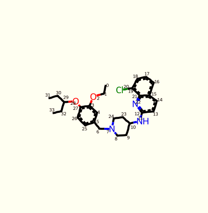 CCOc1cc(CN2CCC(Nc3ccc4cccc(Cl)c4n3)CC2)ccc1OC(CC)CC